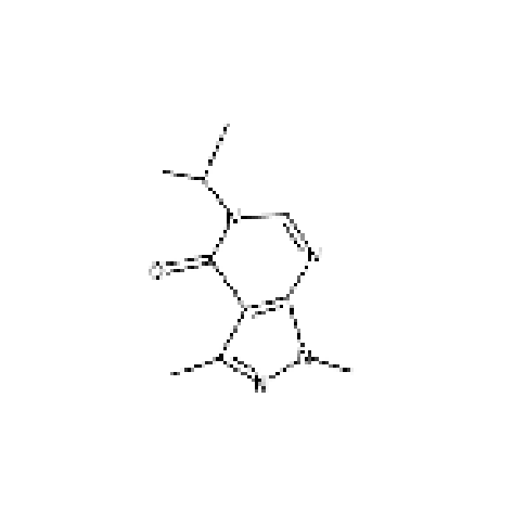 Cc1nn(C)c2ncn(C(C)C)c(=O)c12